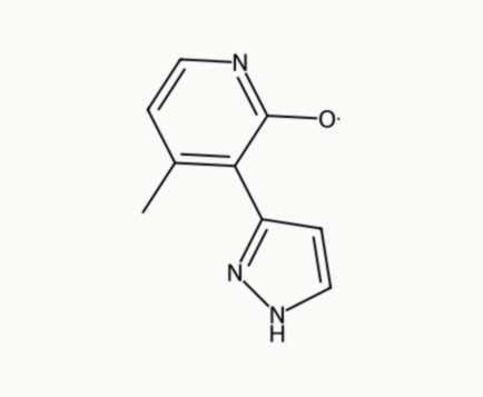 Cc1ccnc([O])c1-c1cc[nH]n1